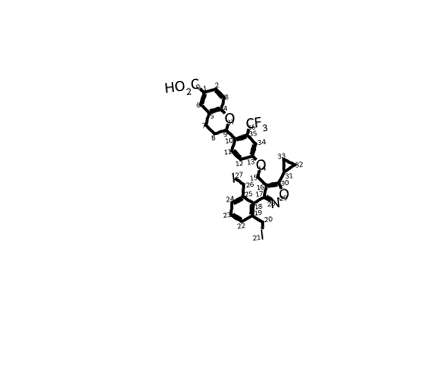 O=C(O)c1ccc2c(c1)CCC(c1ccc(OCc3c(-c4c(CI)cccc4CI)noc3C3CC3)cc1C(F)(F)F)O2